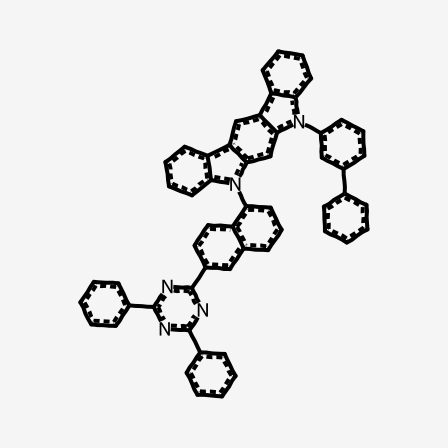 c1ccc(-c2cccc(-n3c4ccccc4c4cc5c6ccccc6n(-c6cccc7cc(-c8nc(-c9ccccc9)nc(-c9ccccc9)n8)ccc67)c5cc43)c2)cc1